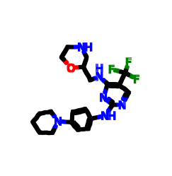 FC(F)(F)c1cnc(Nc2ccc(N3CCCCC3)cc2)nc1NCC1CNCCO1